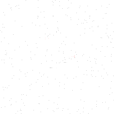 CC(=CCCCO)CCCO